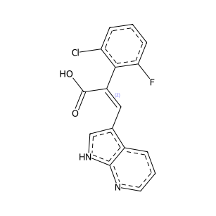 O=C(O)/C(=C\c1c[nH]c2ncccc12)c1c(F)cccc1Cl